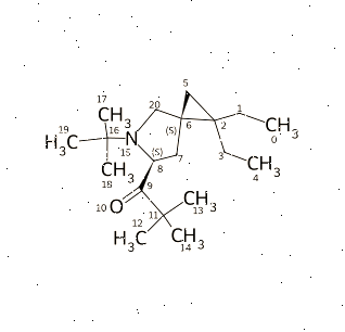 CCC1(CC)C[C@]12C[C@@H](C(=O)C(C)(C)C)N(C(C)(C)C)C2